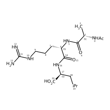 CC(=O)N[C@@H](C)C(=O)N[C@@H](CCCNC(=N)N)C(=O)N[C@@H](CC(C)C)C(=O)O